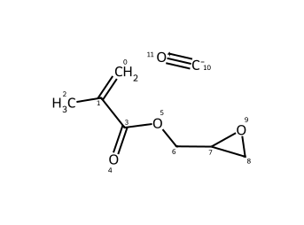 C=C(C)C(=O)OCC1CO1.[C-]#[O+]